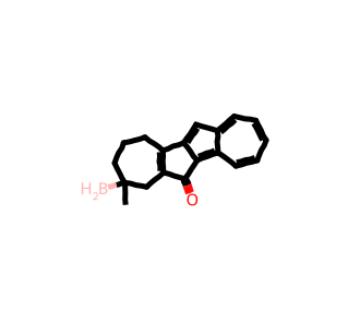 BC1(C)CCCC2=C(C1)C(=O)c1c2cc2cccccc1-2